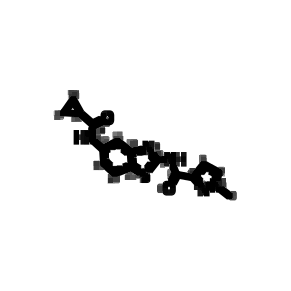 Cn1ccc(C(=O)Nc2nc3cc(NC(=O)C4CC4)ccc3s2)n1